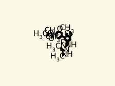 CNc1cc(C)nc(Nc2cc3c(c(C4=CCN(C(=O)OC(C)(C)C)CC(OC)C4)c2F)OCC3)n1